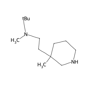 CN(CCC1(C)CCCNC1)C(C)(C)C